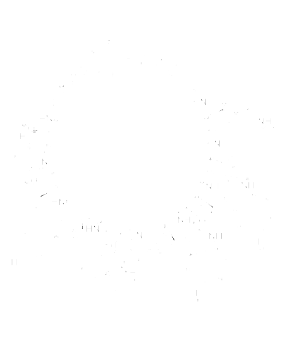 COc1ccc(C[C@@H]2NC(=O)[C@@H]3CCCCC(=O)N[C@H]4C[C@@H](C(=O)N3)N(C4)C(=O)[C@H](Cc3c[nH]c4ccc(F)cc34)NC(=O)[C@H](Cc3c[nH]c4ccc(F)cc34)NC(=O)[C@@H](C)NC(=O)[C@H](CCCN)NC(=O)CCSCc3cccc(c3)CCSCNC(=O)[C@]3(C)CCCN3C2=O)cc1